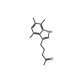 CC(=O)CCCc1c[nH]c2c(C)c(C)cc(C)c12